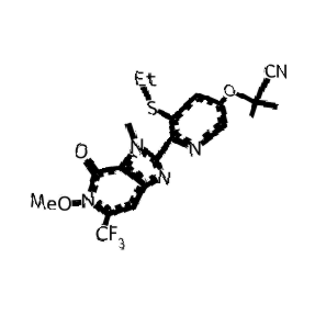 CCSc1cc(OC(C)(C)C#N)cnc1-c1nc2cc(C(F)(F)F)n(OC)c(=O)c2n1C